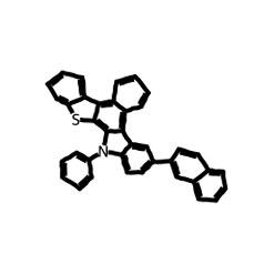 c1ccc(-n2c3ccc(-c4ccc5ccccc5c4)cc3c3c4ccccc4c4c5ccccc5sc4c32)cc1